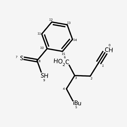 C#CCC(CC(C)CC)C(=O)O.S=C(S)c1ccccc1